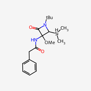 COC1(NC(=O)Cc2ccccc2)C(=O)N(C(C)(C)C)C1[SiH](C)C